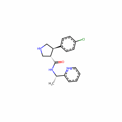 C[C@H](NC(=O)[C@@H]1CNC[C@H]1c1ccc(Cl)cc1)c1ccccn1